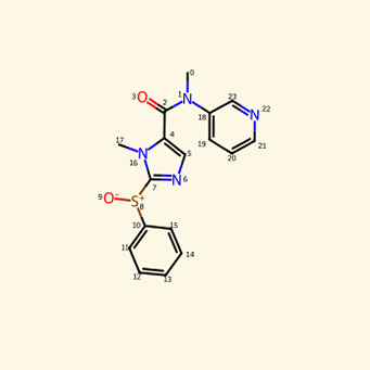 CN(C(=O)c1cnc([S+]([O-])c2ccccc2)n1C)c1cccnc1